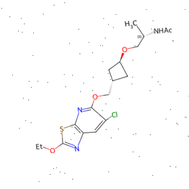 CCOc1nc2cc(Cl)c(OC[C@H]3C[C@H](OC[C@H](C)NC(C)=O)C3)nc2s1